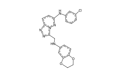 Clc1cccc(Nc2ccc3nnc(CNc4ccc5c(c4)OCCO5)n3n2)c1